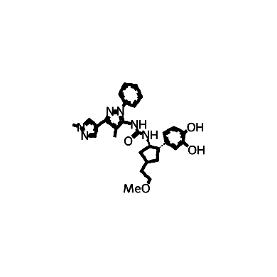 COCCC1C[C@@H](NC(=O)Nc2c(C)c(-c3cnn(C)c3)nn2-c2ccccc2)[C@H](c2ccc(O)c(O)c2)C1